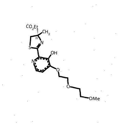 CCOC(=O)[C@@]1(C)CSC(c2nccc(OCCOCCOC)c2O)=N1